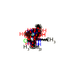 CCCCCCCCCNC(=O)NC(=O)C[C@@H]1CC(=O)[C@H](NC(=O)[C@H](CC)CC(C)C)[C@H](O)c2ccc(c(Cl)c2)Oc2cc3cc(c2O[C@@H]2O[C@H](CN)[C@@H](O)[C@H](O)[C@H]2O)Oc2ccc(cc2Cl)[C@@H](O)[C@@H]2NC(=O)[C@H](CC(=O)C3NC1=O)c1ccc(O)c(c1)-c1c(O)cc(O)cc1[C@@H](C(=O)CC1C3CC4CC(C3)CC1C4)NC2=O